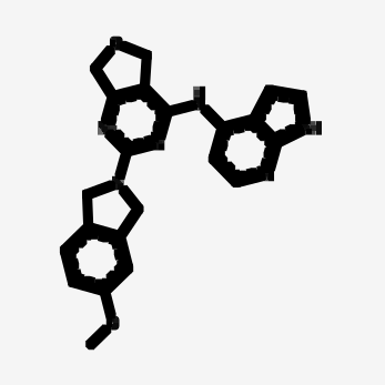 COc1ccc2c(c1)CN(c1nc3c(c(Nc4ccnc5[nH]ccc45)n1)COC3)C2